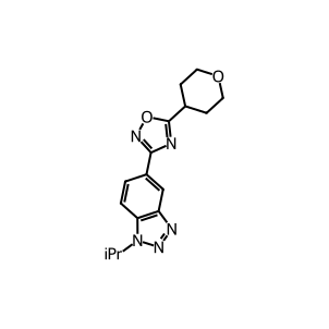 CC(C)n1nnc2cc(-c3noc(C4CCOCC4)n3)ccc21